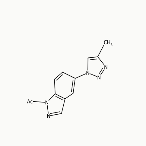 CC(=O)n1ncc2cc(-n3cc(C)nn3)ccc21